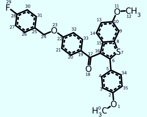 COc1ccc(-c2sc3cc(OC)ccc3c2C(=O)c2ccc(OCc3ccc(F)cc3)cc2)cc1